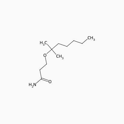 CCCCCC(C)(C)OCCC(N)=O